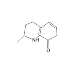 CC1CCC2=C(N1)C(=O)CC=C2